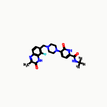 [2H]C([2H])([2H])NC(=O)c1ccc(N2CCN(Cc3ccc4nc(C)c(=O)[nH]c4c3F)CC2)c(=O)[nH]1